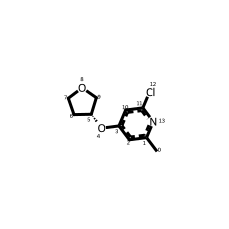 Cc1cc(O[C@@H]2CCOC2)cc(Cl)n1